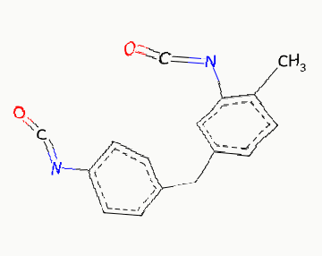 Cc1ccc(Cc2ccc(N=C=O)cc2)cc1N=C=O